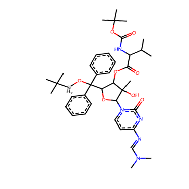 CC(C)C(NC(=O)OC(C)(C)C)C(=O)OC1C(C(O[SiH2]C(C)(C)C)(c2ccccc2)c2ccccc2)OC(n2ccc(N=CN(C)C)nc2=O)C1(C)O